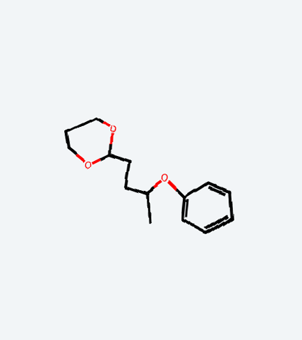 CC(CCC1OCCCO1)Oc1ccccc1